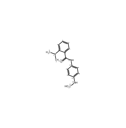 CN(C)c1ccccc1C(=O)Nc1ccc(NC(=O)O)cc1